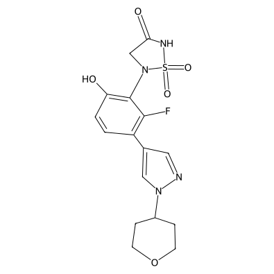 O=C1CN(c2c(O)ccc(-c3cnn(C4CCOCC4)c3)c2F)S(=O)(=O)N1